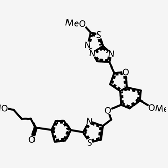 COc1cc(OCc2csc(-c3ccc(C(=O)CCCO)cc3)n2)c2cc(-c3cn4nc(OC)sc4n3)oc2c1